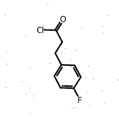 O=C(Cl)CCc1ccc(F)cc1